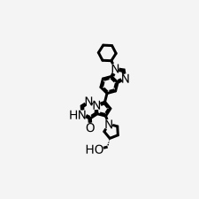 O=c1[nH]cnn2c(-c3ccc4c(c3)ncn4C3CCCCC3)cc(N3CC[C@H](CO)C3)c12